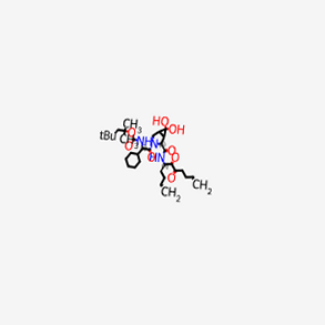 C=CCCC(=O)C(=O)[C@@H](CCC=C)NC(=O)[C@@H]1C2C(CN1C(=O)[C@@H](NC(=O)OC(C)(C)CC(C)(C)C)C1CCCCC1)C2(O)O